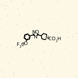 O=C(O)N1CCC(c2nc(-c3cccc(OC(F)(F)F)c3)no2)CC1